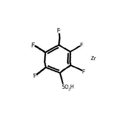 O=S(=O)(O)c1c(F)c(F)c(F)c(F)c1F.[Zr]